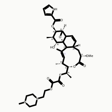 CO[C@H]1C[C@H]2C=CC3C4[C@H](O)[C@@H](C)[C@@H](OC(=O)c5ccc[nH]5)[C@@H]3O[C@]42/C(C)=C/[C@@H](C)[C@@H]([C@@H](C)OC(=O)C(=O)OCCN2CCN(C)CC2)OC1=O